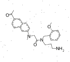 COc1ccccc1CN(CCCN)C(=O)CN(C)c1ccc2cc(C(C)=O)ccc2c1